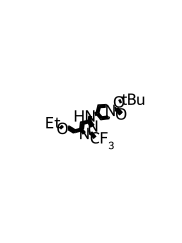 CCOC=Cc1cc(NC2CCN(C(=O)OC(C)(C)C)CC2)nc(C(F)(F)F)n1